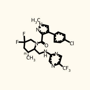 C[C@@H]1CC(F)(F)CN(C(=O)c2nn(C)cc2-c2ccc(Cl)cc2)C1CNc1cnc(C(F)(F)F)cn1